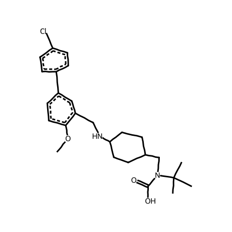 COc1ccc(-c2ccc(Cl)cc2)cc1CNC1CCC(CN(C(=O)O)C(C)(C)C)CC1